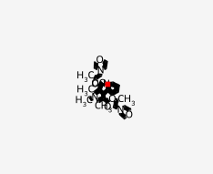 CC1=C(C(=O)OC(C)CN2CCOCC2)C(c2ccccc2[N+](=O)[O-])C(C(=O)OC(C)CN2CCOCC2)=C(C)N1C